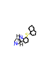 CN1CC[C@@H]2[C@@H](C1)c1cccc(Sc3cccc4ccccc34)c1N2C